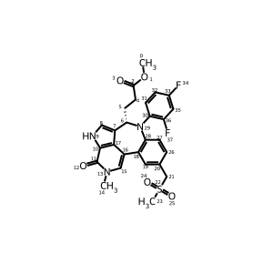 COC(=O)CC[C@H]1c2c[nH]c3c(=O)n(C)cc(c23)-c2cc(CS(C)(=O)=O)ccc2N1c1ccc(F)cc1F